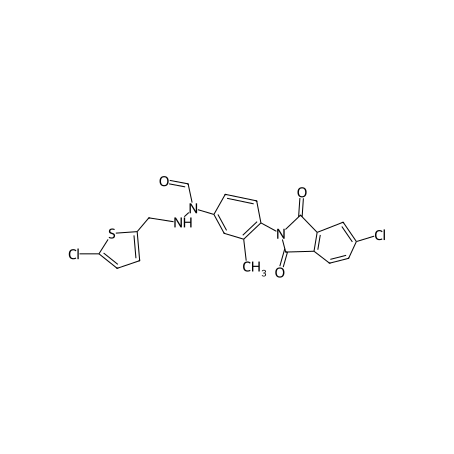 Cc1cc(N(C=O)NCc2ccc(Cl)s2)ccc1N1C(=O)c2ccc(Cl)cc2C1=O